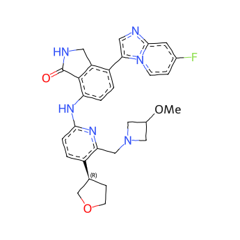 COC1CN(Cc2nc(Nc3ccc(-c4cnc5cc(F)ccn45)c4c3C(=O)NC4)ccc2[C@H]2CCOC2)C1